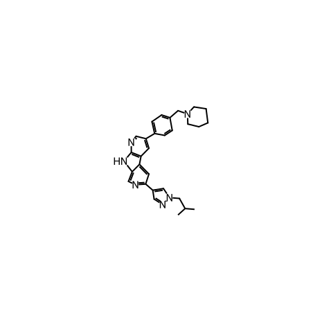 CC(C)Cn1cc(-c2cc3c(cn2)[nH]c2ncc(-c4ccc(CN5CCCCC5)cc4)cc23)cn1